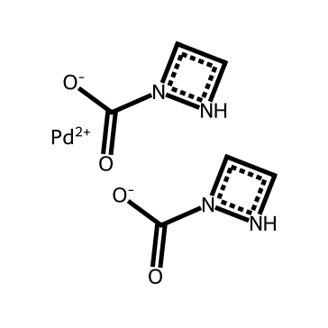 O=C([O-])n1cc[nH]1.O=C([O-])n1cc[nH]1.[Pd+2]